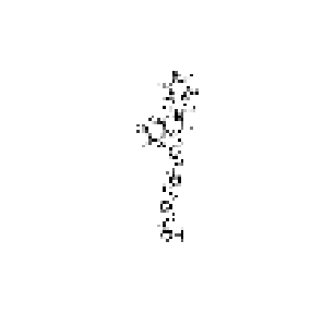 OCCOCCOCCOCCCN(Cc1ccccc1)Cc1ccccc1